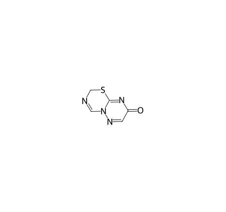 O=c1cnn2c(n1)SCN=C2